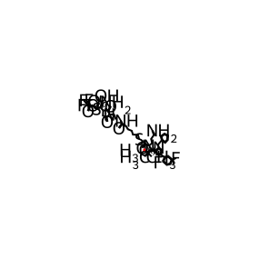 CC(C)(C)[C@H](c1cc(-c2cc(F)ccc2F)cn1Cc1ccccc1)N(CCCN)C(=O)CSCCCCCC(=O)NCCN1C(=O)CC(C(SOC(=O)C(F)(F)F)[C@H](N)C(=O)O)C1=O